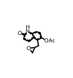 CC(=O)Oc1ccc2[nH]c(=O)ccc2c1CC1CO1